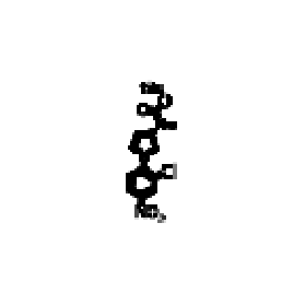 CN(C(=O)OC(C)(C)C)[C@@H]1CCN(c2ccc([N+](=O)[O-])cc2Cl)C1